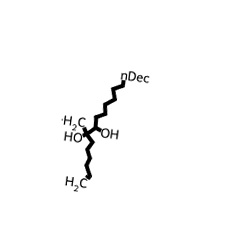 [CH2]C(O)(CCCCC=C)C(O)CCCCCCCCCCCCCCCC